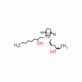 C/C=C(/O)C/C=C\C[C@@H]1[C@H](CCC(O)CCCCCC)[C@@H]2CC[C@H]1O2